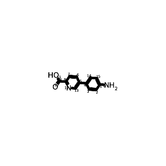 Nc1ccc(-c2ccc(C(=O)O)nc2)cc1